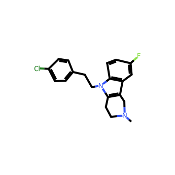 CN1CCc2c(c3cc(F)ccc3n2CCc2ccc(Cl)cc2)C1